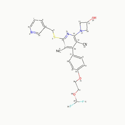 N#Cc1c(SCc2cccnc2)nc(N2CC(O)C2)c(C#N)c1-c1ccc(OCCOC(F)F)cc1